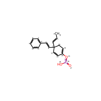 CC=CC1(C=Cc2ccccc2)C=CC(O[PH](=O)O)=CC1